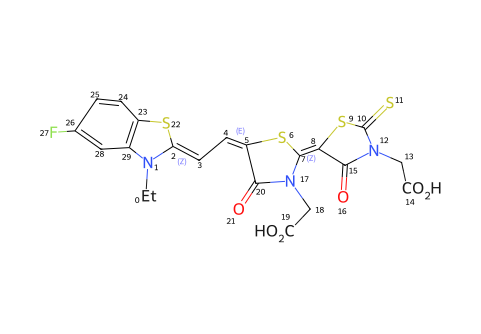 CCN1/C(=C/C=c2/s/c(=C3\SC(=S)N(CC(=O)O)C3=O)n(CC(=O)O)c2=O)Sc2ccc(F)cc21